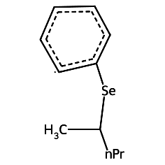 CCCC(C)[Se]c1[c]cccc1